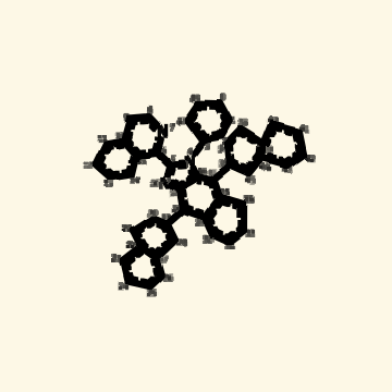 c1ccc(-n2c(-c3nccc4ccccc34)nc3c(-c4ccc5ccccc5c4)c4ccccc4c(-c4ccc5ccccc5c4)c32)cc1